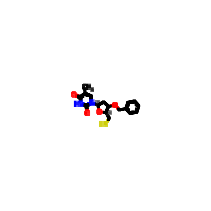 Cc1cn([C@H]2CC(OCc3ccccc3)[C@@H](CS)O2)c(=O)[nH]c1=O